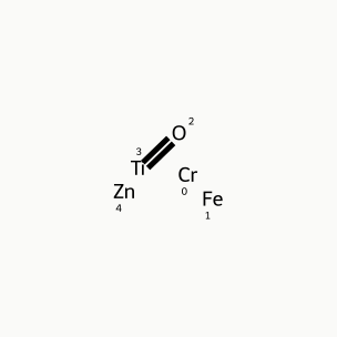 [Cr].[Fe].[O]=[Ti].[Zn]